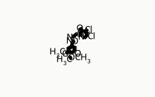 COc1cc(-c2nnc(Cn3ncc(Cl)c(Cl)c3=O)o2)cc(OC)c1OC